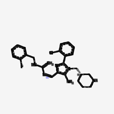 C=C(/N=C\c1nc(-c2ccccc2Cl)n(C[C@H]2CCCNC2)c1N)NCc1ccccc1F